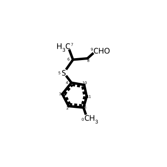 Cc1ccc(SC(C)CC=O)cc1